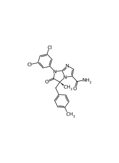 Cc1ccc(C[C@]2(C)C(=O)N(c3cc(Cl)cc(Cl)c3)c3ncc(C(N)=O)n32)cc1